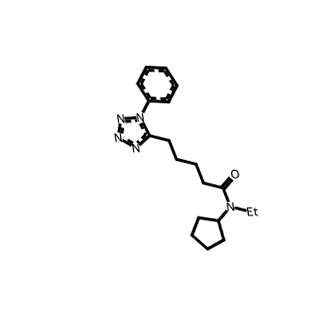 CCN(C(=O)CCCCc1nnnn1-c1ccccc1)C1CCCC1